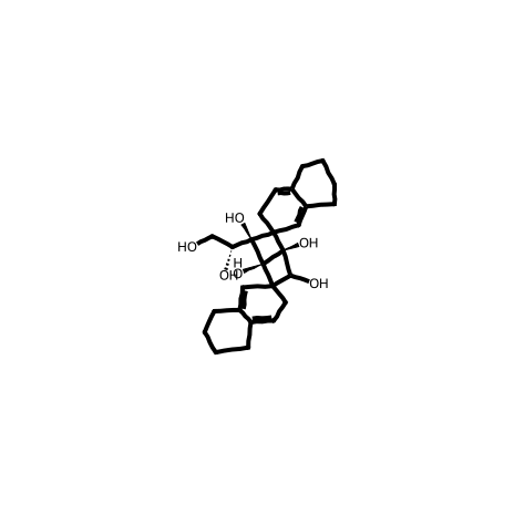 OC[C@@H](O)[C@]1(O)C2(C=C3CCCCC3=CC2)[C@]2(O)C(O)C3(C=C4CCCCC4=CC3)[C@@]21O